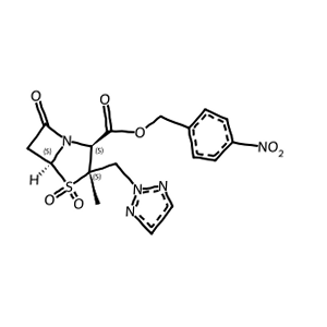 C[C@]1(Cn2nccn2)[C@H](C(=O)OCc2ccc([N+](=O)[O-])cc2)N2C(=O)C[C@@H]2S1(=O)=O